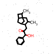 CC1CC23CC(CC2CC3C)C1CC(=O)C(O)c1ccccc1